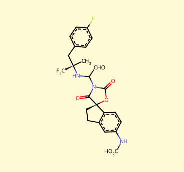 C[C@@](Cc1ccc(F)cc1)(NC(C=O)N1C(=O)O[C@@]2(CCc3cc(NC(=O)O)ccc32)C1=O)C(F)(F)F